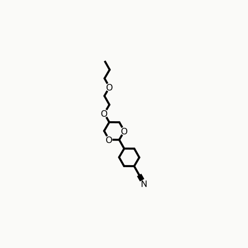 CCCOCCOC1COC(C2CCC(C#N)CC2)OC1